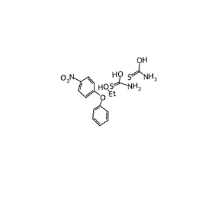 CCO.NC(O)=S.NC(O)=S.O=[N+]([O-])c1ccc(Oc2ccccc2)cc1